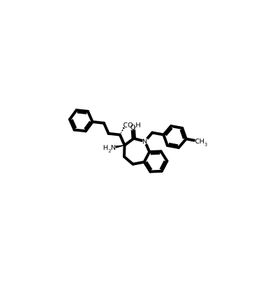 Cc1ccc(CN2C(=O)[C@@](N)([C@H](CCc3ccccc3)C(=O)O)CCc3ccccc32)cc1